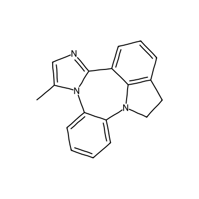 Cc1cnc2n1-c1ccccc1N1CCc3cccc-2c31